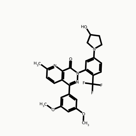 COc1cc(OC)cc(-c2nn(-c3cc(N4CCC(O)C4)ccc3C(F)(F)F)c(=O)c3nc(C)ccc23)c1